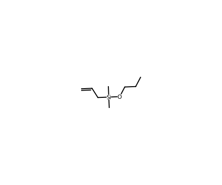 C=CC[Si](C)(C)OCCC